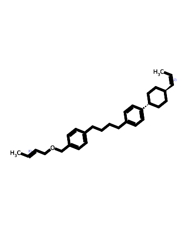 C/C=C\[C@H]1CC[C@H](c2ccc(CCCCc3ccc(COC/C=C/C)cc3)cc2)CC1